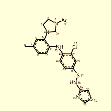 CC(=O)N1CCN(c2cc(C)ccc2Nc2ccc(SNc3cscn3)cc2Cl)C1